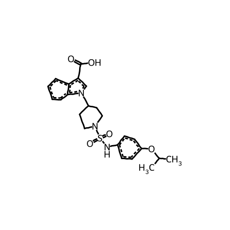 CC(C)Oc1ccc(NS(=O)(=O)N2CCC(n3cc(C(=O)O)c4ccccc43)CC2)cc1